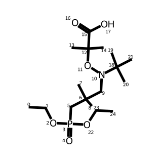 CCOP(=O)(CC(C)(C)CN(OC(C)(C)C(=O)O)C(C)(C)C)OCC